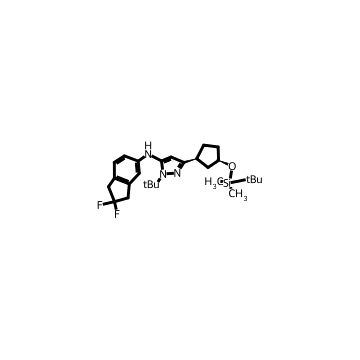 CC(C)(C)n1nc([C@H]2CC[C@@H](O[Si](C)(C)C(C)(C)C)C2)cc1Nc1ccc2c(c1)CC(F)(F)C2